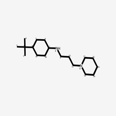 CC(C)(C)C1CCC(NCCCN2CCCCC2)CC1